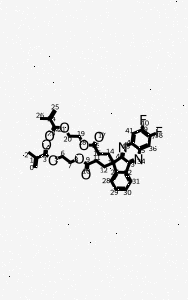 C=C(C)C(=O)OCCOC(=O)CCC1(CCC(=O)OCCOC(=O)C(=C)C)c2ccccc2-c2nc3cc(F)c(F)cc3nc21